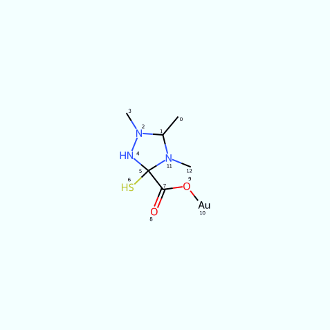 CC1N(C)NC(S)(C(=O)[O][Au])N1C